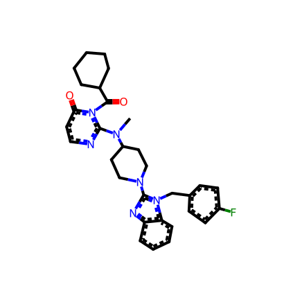 CN(c1nccc(=O)n1C(=O)C1CCCCC1)C1CCN(c2nc3ccccc3n2Cc2ccc(F)cc2)CC1